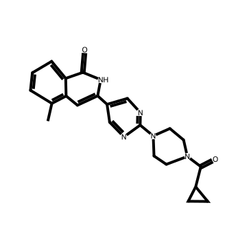 Cc1cccc2c(=O)[nH]c(-c3cnc(N4CCN(C(=O)C5CC5)CC4)nc3)cc12